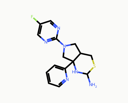 NC1NC2(c3ccccn3)CN(c3ncc(F)cn3)CC2CS1